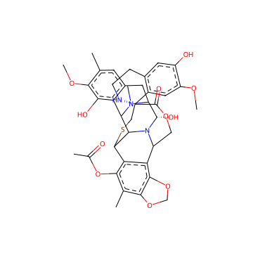 COc1cc2c(cc1O)CCN[C@]21CSC2c3c(OC(C)=O)c(C)c4c(c3C(COC1=O)N1C2C2c3c(cc(C)c(OC)c3O)CC([C@@H]1O)N2C)OCO4